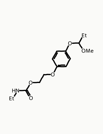 CCNC(=O)OCCOc1ccc(OC(CC)OC)cc1